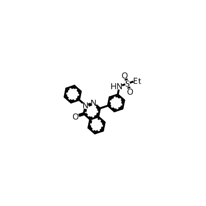 CCS(=O)(=O)Nc1cccc(-c2nn(-c3ccccc3)c(=O)c3ccccc23)c1